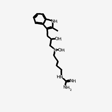 Cc1[nH]c2ccccc2c1CC(O)CN(O)CCCCNC(=N)N